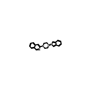 c1ccc2cc(N3CCN(n4cc5ccccc5c4)CC3)ncc2c1